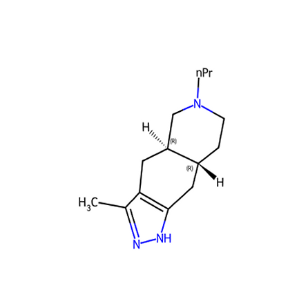 CCCN1CC[C@@H]2Cc3[nH]nc(C)c3C[C@H]2C1